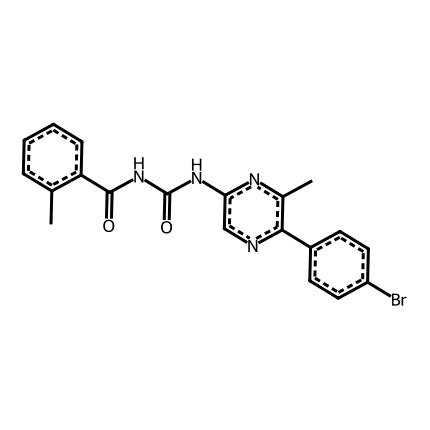 Cc1ccccc1C(=O)NC(=O)Nc1cnc(-c2ccc(Br)cc2)c(C)n1